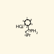 CC(C)CC(P)c1ccccc1.Cl